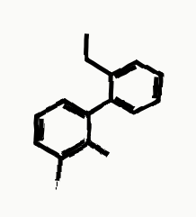 CCc1ccccc1-c1cccc(I)c1C